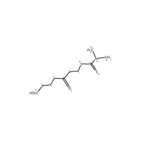 CCCCCCCCCCCC(=O)CCSC(=S)N(C)C